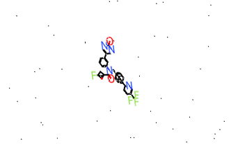 COc1ncc(-c2cccc(N(CC34CCC(c5ccc(C(F)(F)F)cn5)(CC3)CC4)C(=O)C34CC(F)(C3)C4)c2)cn1